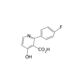 O=C(O)c1c(O)ccnc1-c1ccc(F)cc1